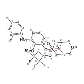 COc1c(Nc2ccc(C)cc2F)ncnc1OC1CC2COCC(C1)N2C(=O)OC1CC(F)(F)C1(F)F